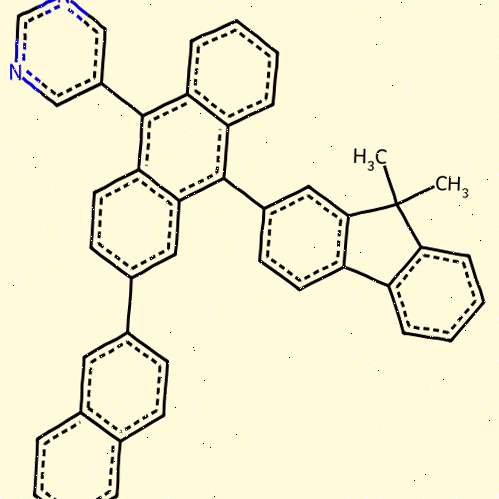 CC1(C)c2ccccc2-c2ccc(-c3c4ccccc4c(-c4cncnc4)c4ccc(-c5ccc6ccccc6c5)cc34)cc21